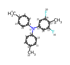 Cc1ccc(N(c2ccc(C)cc2)c2cc(F)c(C)c(F)c2)cc1